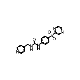 O=C(NCc1ccncc1)Nc1ccc(S(=O)(=O)c2cnccn2)cc1